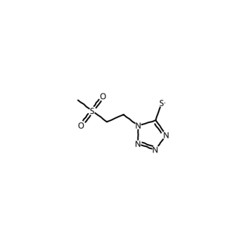 CS(=O)(=O)CCn1nnnc1[S]